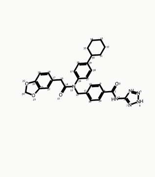 O=C(Nc1nn[nH]n1)c1ccc(CN(C(=O)Cc2ccc3c(c2)OCO3)c2ccc(C3CCCCC3)cc2)cc1